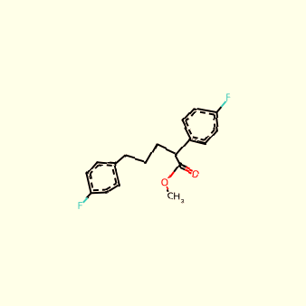 COC(=O)C(CCCc1ccc(F)cc1)c1ccc(F)cc1